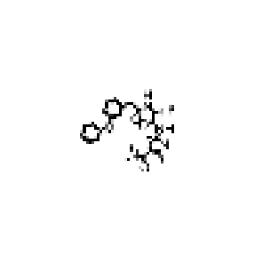 CCC[C@H](NC(=O)Cc1cccc(Oc2ccccc2)c1)C(=O)Nc1nc(C)c(C(=O)N(C)C)s1